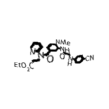 CCOC(=O)CCN(C(=O)C1=CC(NC(=O)CNc2ccc(C#N)cc2)C(NC)C=C1)c1ccccn1